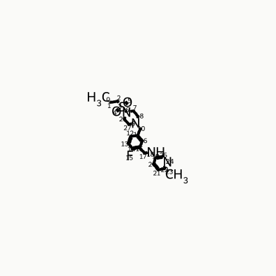 CCCS(=O)(=O)N1CCN(Cc2ccc(F)c(CNc3ccc(C)nc3)c2)CC1